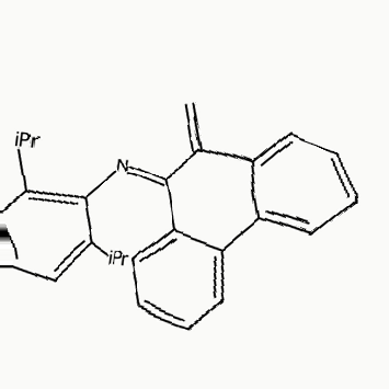 C=C1/C(=N/c2c(C(C)C)cccc2C(C)C)c2ccccc2-c2ccccc21